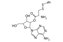 CC(C)SSC[C@H](N)C(=O)OC1C(O)C(CO)OC1n1cnc2c(N)ncnc21